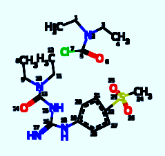 CCN(CC)C(=O)Cl.CCN(CC)C(=O)NC(=N)Nc1ccc(S(C)(=O)=O)cc1